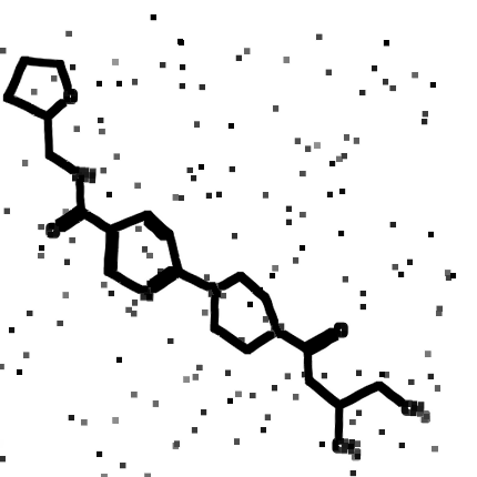 CCC(C)CC(=O)N1CCN(c2ccc(C(=O)NCC3CCCO3)cn2)CC1